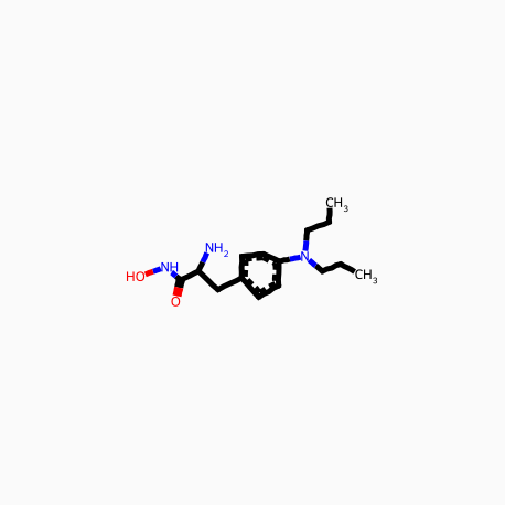 CCCN(CCC)c1ccc(CC(N)C(=O)NO)cc1